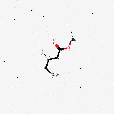 C[C@@H](CC(=O)O)CC(=O)OC(C)(C)C